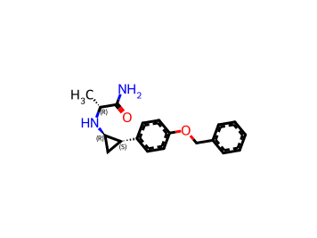 C[C@@H](N[C@@H]1C[C@H]1c1ccc(OCc2ccccc2)cc1)C(N)=O